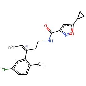 CCC/C=C(/CCNC(=O)c1cc(C2CC2)on1)c1cc(Cl)ccc1C